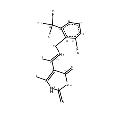 C=C1NC(C)=C(/C(C)=N/Cc2c(F)cccc2C(F)(F)F)C(=C)S1